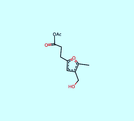 CC(=O)OC(=O)CCc1cc(CO)c(C)o1